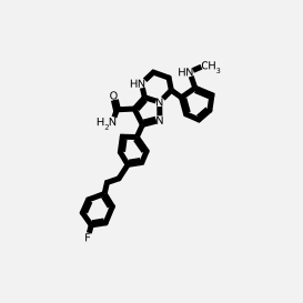 CNc1ccccc1C1CCNc2c(C(N)=O)c(-c3ccc(CCc4ccc(F)cc4)cc3)nn21